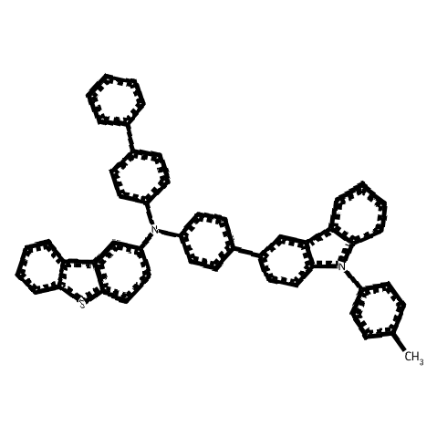 Cc1ccc(-n2c3ccccc3c3cc(-c4ccc(N(c5ccc(-c6ccccc6)cc5)c5ccc6sc7ccccc7c6c5)cc4)ccc32)cc1